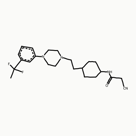 CC(F)(F)c1cccc(N2CCN(CCC3CCC(NC(=O)CC#N)CC3)CC2)c1